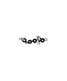 O=C(Nc1ccc(-c2ccc(OC3CCNCC3)cc2)cc1)c1ccc(Cl)cc1Cl